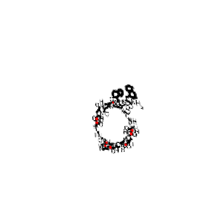 CC[C@]12CCC(=O)NCC[C@H]3NC(=O)[C@@]4(CC5C(=O)N[C@]6(CC7C(=O)N(Cc8cccc9ccccc89)[C@]8(C[C@@H](C(=O)N[C@@H](Cc9cccc%10ccccc9%10)C(N)=O)N(C8)C(=O)CNC[C@@H]8NC(=O)[C@@]9(C[C@H]%10C(=O)N[C@]%11(C[C@@H](C(=O)N1Cc1cncn1C)N(C%11)C2=O)C(=O)N%10C9)NC8=O)C(=O)N7C6)C(=O)N5C4)NC3=O